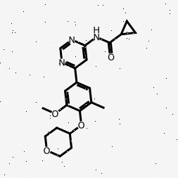 COc1cc(-c2cc(NC(=O)C3CC3)ncn2)cc(C)c1OC1CCOCC1